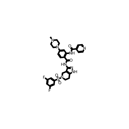 CN1CCN(c2ccc(C(=O)Nc3n[nH]c4c3CN(S(=O)(=O)c3cc(F)cc(F)c3)CC4)c(NC(=O)c3ccncc3)c2)CC1